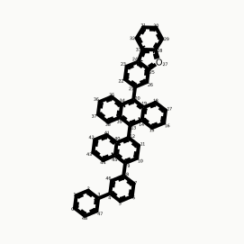 c1ccc(-c2cccc(-c3ccc(-c4c5ccccc5c(-c5ccc6c(c5)oc5ccccc56)c5ccccc45)c4ccccc34)c2)cc1